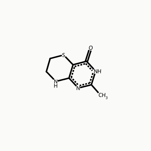 Cc1nc2c(c(=O)[nH]1)SCCN2